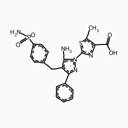 Cc1sc(-n2nc(-c3ccccc3)c(Cc3ccc(S(N)(=O)=O)cc3)c2N)nc1C(=O)O